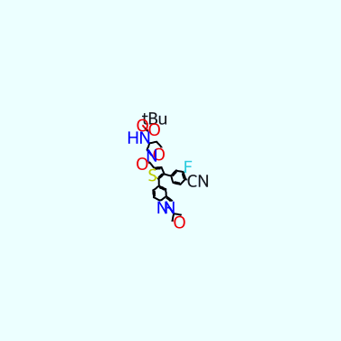 CC(C)(C)OC(=O)N[C@@H]1CCON(C(=O)c2cc(-c3ccc(C#N)c(F)c3)c(-c3ccc4nn(C5COC5)cc4c3)s2)C1